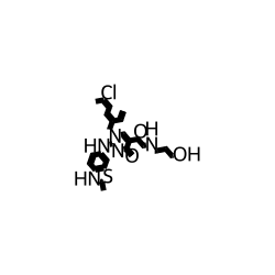 C=C/C(=C\C=C(/C)Cl)Cn1cc(C(=O)CNCCCO)c(=O)nc1Nc1ccc2c(c1)SC(C)N2